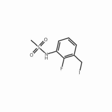 CS(=O)(=O)Nc1cccc(CI)c1F